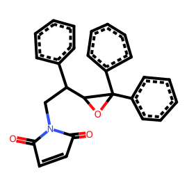 O=C1C=CC(=O)N1CC(c1ccccc1)C1OC1(c1ccccc1)c1ccccc1